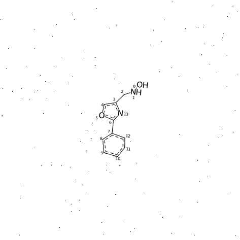 ONCc1coc(-c2ccccc2)n1